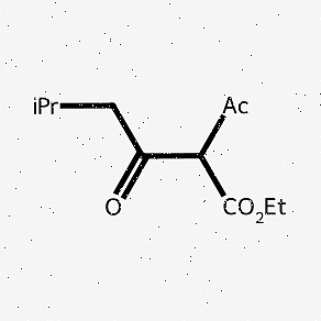 CCOC(=O)C(C(C)=O)C(=O)CC(C)C